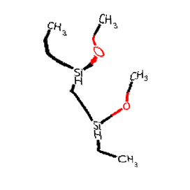 CC[SiH](C[SiH](CC)OC)OC